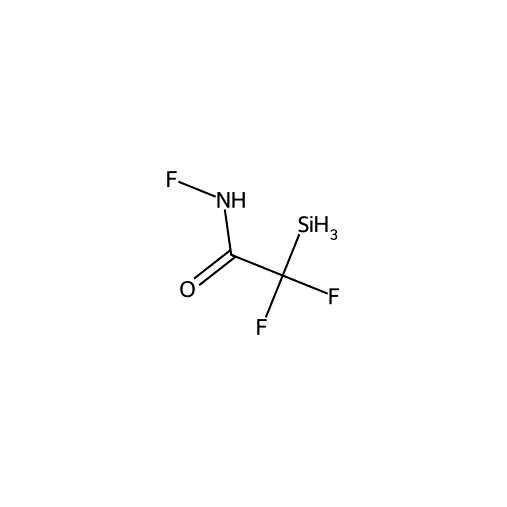 O=C(NF)C(F)(F)[SiH3]